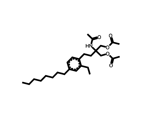 CCCCCCCCc1ccc(CCC(COC(C)=O)(COC(C)=O)NC(C)=O)c(CC)c1